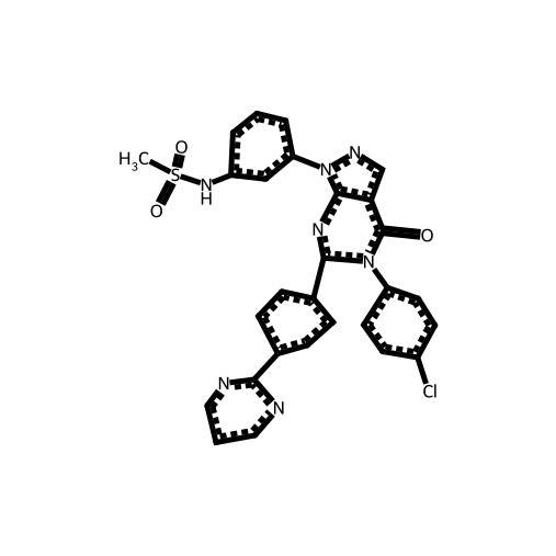 CS(=O)(=O)Nc1cccc(-n2ncc3c(=O)n(-c4ccc(Cl)cc4)c(-c4ccc(-c5ncccn5)cc4)nc32)c1